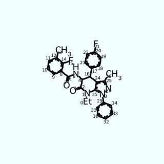 CCN1C(=O)C(NC(=O)c2cccc(C)c2F)C(c2ccc(F)cc2)c2c(C)nn(-c3ccccc3)c21